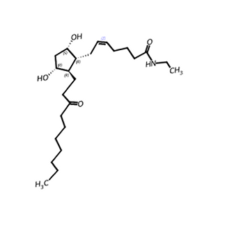 CCCCCCCC(=O)CC[C@@H]1[C@@H](C/C=C\CCCC(=O)NCC)[C@@H](O)C[C@H]1O